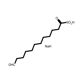 O=CCCCCCCCCCCC(=O)S(=O)(=O)O.[NaH]